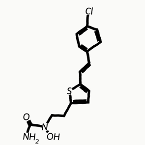 NC(=O)N(O)CCc1ccc(C=Cc2ccc(Cl)cc2)s1